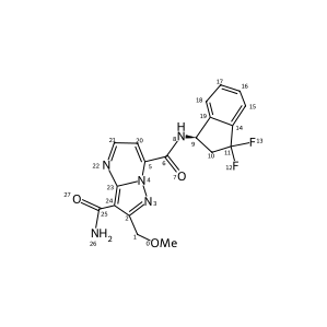 COCc1nn2c(C(=O)N[C@@H]3CC(F)(F)c4ccccc43)ccnc2c1C(N)=O